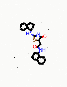 O=C(CC1SC(Nc2cccc3ccccc23)=NC1=O)Nc1cccc2ccccc12